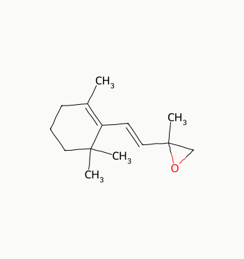 CC1=C(C=CC2(C)CO2)C(C)(C)CCC1